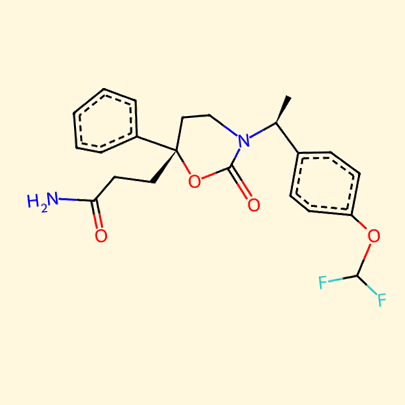 C[C@@H](c1ccc(OC(F)F)cc1)N1CC[C@@](CCC(N)=O)(c2ccccc2)OC1=O